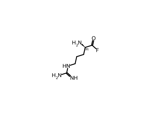 N=C(N)NCCC[C@@H](N)C(=O)F